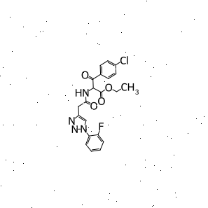 CCOC(=O)C(NC(=O)Cc1cn(-c2ccccc2F)nn1)C(=O)c1ccc(Cl)cc1